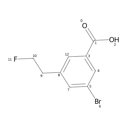 O=C(O)c1cc(Br)cc(CCF)c1